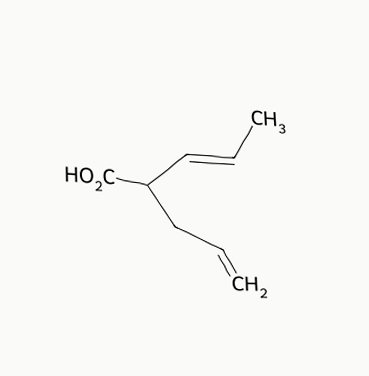 C=CCC(C=CC)C(=O)O